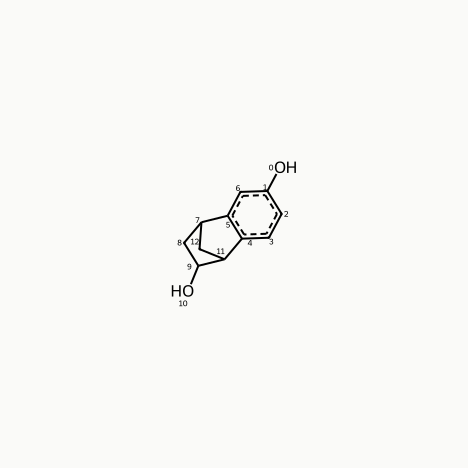 Oc1ccc2c(c1)C1CC(O)C2C1